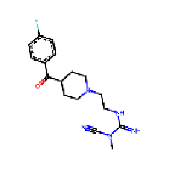 CN(C#N)C(=N)NCCN1CCC(C(=O)c2ccc(F)cc2)CC1